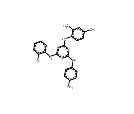 CCc1ccccc1Nc1nc(Nc2ccc(C)cc2)nc(Nc2ccc(C)cc2C)n1